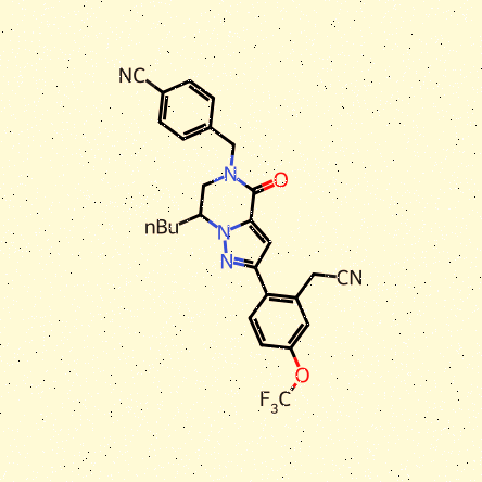 CCCCC1CN(Cc2ccc(C#N)cc2)C(=O)c2cc(-c3ccc(OC(F)(F)F)cc3CC#N)nn21